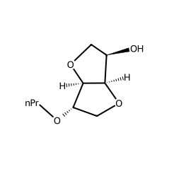 CCCO[C@H]1CO[C@H]2[C@@H]1OC[C@H]2O